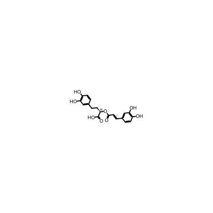 O=C(/C=C/c1ccc(O)c(O)c1)O[C@H](CCc1ccc(O)c(O)c1)C(=O)O